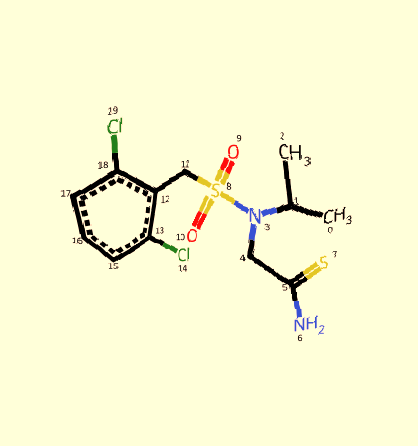 CC(C)N(CC(N)=S)S(=O)(=O)Cc1c(Cl)cccc1Cl